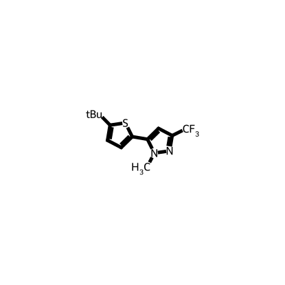 Cn1nc(C(F)(F)F)cc1-c1ccc(C(C)(C)C)s1